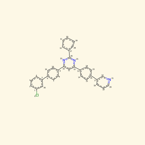 Clc1cccc(-c2ccc(-c3cc(-c4ccc(-c5cccnc5)cc4)nc(-c4ccccc4)n3)cc2)c1